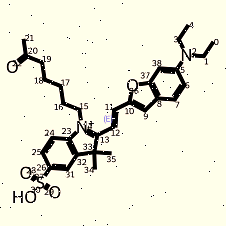 CCN(CC)c1ccc2cc(/C=C/C3=[N+](CCCCCC(C)=O)c4ccc(S(=O)(=O)O)cc4C3(C)C)oc2c1